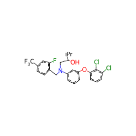 CC(C)C(O)CN(Cc1ccc(C(F)(F)F)cc1F)c1cccc(Oc2cccc(Cl)c2Cl)c1